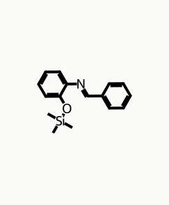 C[Si](C)(C)Oc1ccccc1N=Cc1ccccc1